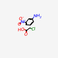 Nc1cccc([N+](=O)[O-])c1.O=C(O)CCl